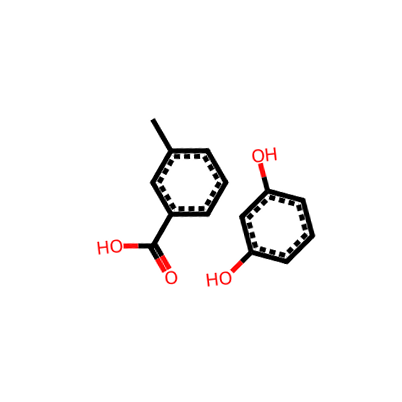 Cc1cccc(C(=O)O)c1.Oc1cccc(O)c1